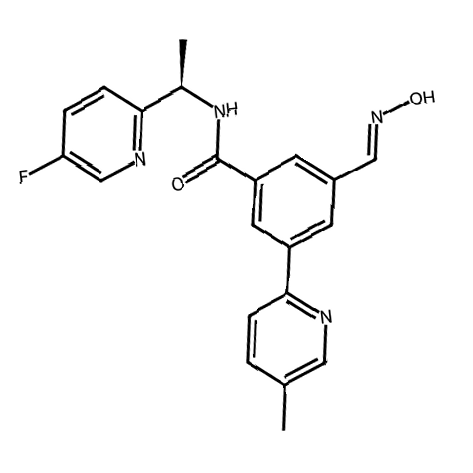 Cc1ccc(-c2cc(/C=N/O)cc(C(=O)N[C@H](C)c3ccc(F)cn3)c2)nc1